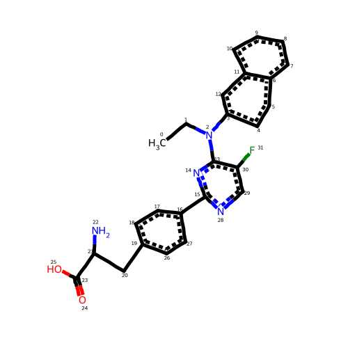 CCN(c1ccc2ccccc2c1)c1nc(-c2ccc(CC(N)C(=O)O)cc2)ncc1F